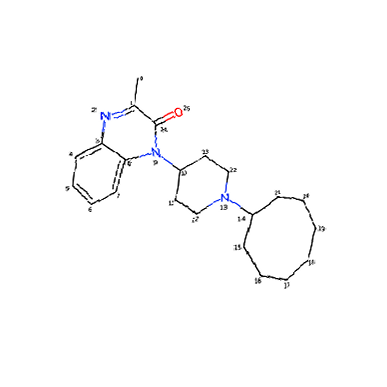 Cc1nc2ccccc2n(C2CCN(C3CCCCCCC3)CC2)c1=O